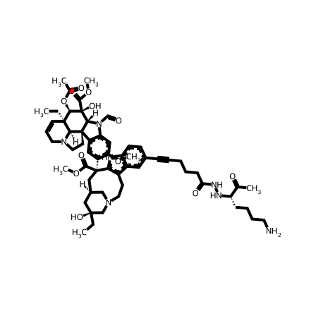 CC[C@]1(O)C[C@@H]2CN(CCc3c([nH]c4ccc(C#CCCCC(=O)NN[C@@H](CCCCN)C(C)=O)cc34)[C@@](C(=O)OC)(c3cc4c(cc3OC)N(C=O)[C@H]3[C@@](O)(C(=O)OC)[C@H](OC(C)=O)[C@]5(CC)C=CCN6CC[C@]43[C@@H]65)C2)C1